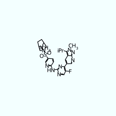 CC(C)c1c2cc(-c3nc(Nc4ccc(S(=O)(=O)N5CC6CCC(C5)N6C)cn4)ncc3F)cnc2nn1C